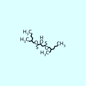 CCCCC(CC)COC(=S)CC(O)C(=S)OCC(CC)CCCC